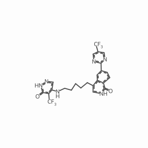 O=c1[nH]ncc(NCCCCCc2c[nH]c(=O)c3ccc(-c4ncc(C(F)(F)F)cn4)cc23)c1C(F)(F)F